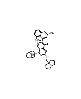 CSc1cccc2cc(O)cc(-c3ncc4c(N5CC6CCC(C5)N6)nc(OCC56CCCN5CCC6)nc4c3F)c12